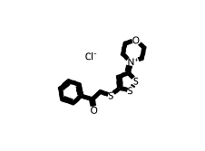 O=C(CSc1cc(=[N+]2CCOCC2)ss1)c1ccccc1.[Cl-]